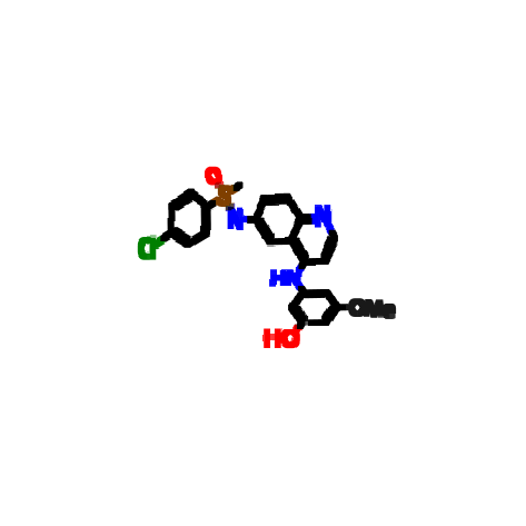 COc1cc(O)cc(Nc2ccnc3ccc(N=S(C)(=O)c4ccc(Cl)cc4)cc23)c1